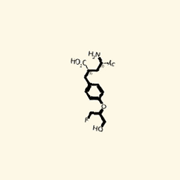 CC(=O)[C@@H](N)C[C@H](Cc1ccc(OC(CO)CF)cc1)C(=O)O